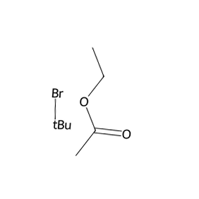 CC(C)(C)Br.CCOC(C)=O